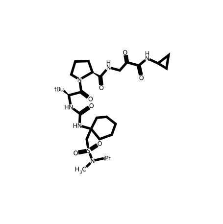 CC(C)N(C)S(=O)(=O)CC1(NC(=O)N[C@H](C(=O)N2CCC[C@H]2C(=O)NCC(=O)C(=O)NC2CC2)C(C)(C)C)CCCCC1